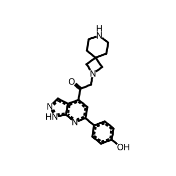 O=C(CN1CC2(CCNCC2)C1)c1cc(-c2ccc(O)cc2)nc2[nH]ncc12